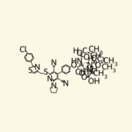 CC(Oc1ccc(-c2c(C#N)c(SCc3csc(-c4ccc(Cl)cc4)n3)nc(N3CCCC3)c2C#N)cc1)[C@@](CNC(=O)OC(C)(C)C)(NC(=O)OC(C)(C)C)C(=O)N[C@@H](C)C(=O)O